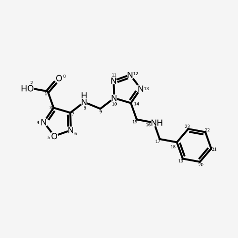 O=C(O)c1nonc1NCn1nnnc1CNCc1ccccc1